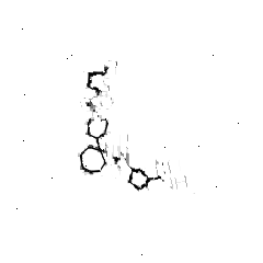 N=C(N)c1cccc(NC(=O)NC2(C3CCN(S(=O)(=O)c4ccc(Cl)s4)CC3)CCCCCC2)c1